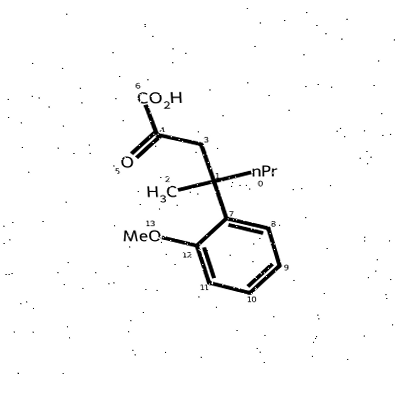 CCCC(C)(CC(=O)C(=O)O)c1ccccc1OC